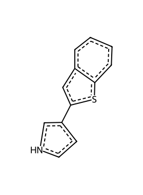 c1ccc2sc(-c3cc[nH]c3)cc2c1